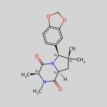 C[C@H]1C(=O)N2[C@@H](c3ccc4c(c3)OCO4)[C@@](C)(C#N)C[C@H]2C(=O)N1C